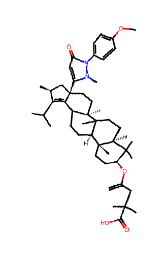 C=C(CC(C)(C)C(=O)O)O[C@H]1CC[C@@]2(C)[C@@H](CCC3(C)[C@@H]2CCC2C4=C(C(C)C)[C@@H](C)C[C@]4(c4cc(=O)n(-c5ccc(OC)cc5)n4C)CC[C@]23C)C1(C)C